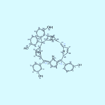 Oc1cccc(/C2=c3\cc/c([nH]3)=C(\c3cccc(O)c3)c3ccc([nH]3)C(c3cccc(O)c3)(c3cccc(O)c3)c3ccc([nH]3)/C=C3/C=CC2=N3)c1